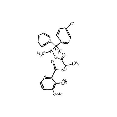 COc1ccnc(C(=O)NC(C)C(=O)ON(C)C(C)(c2ccccc2)c2ccc(Cl)cc2)c1O